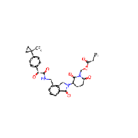 CC(C)CC(=O)OCN1C(=O)CCC(N2Cc3c(CNC(=O)C(=O)c4ccc(C5(C(F)(F)F)CC5)cc4)cccc3C2=O)C1=O